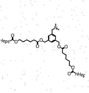 CCCCCCCC(=O)OCCCCCC(=O)OCc1cc(COC(=O)CCCCCOC(=O)CCCCCCC)cc(CN(C)C)c1